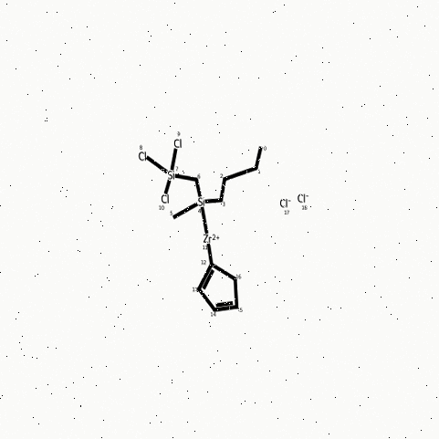 CCCC[Si](C)(C[Si](Cl)(Cl)Cl)[Zr+2][C]1=CC=CC1.[Cl-].[Cl-]